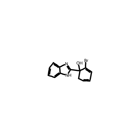 OC1(c2nc3ccccc3[nH]2)CC=CC=C1Br